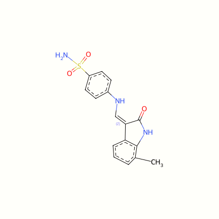 Cc1cccc2c1NC(=O)/C2=C\Nc1ccc(S(N)(=O)=O)cc1